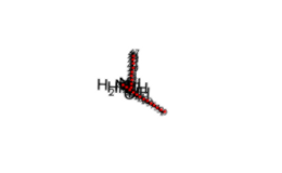 CCCCCCCCCCCCCCCCCCNC(=O)C(CCNC(=N)N)NC(=O)CCCCCCCCCCCCCCCCC